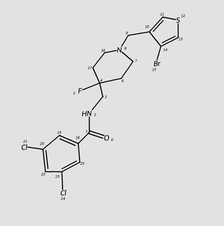 O=C(NCC1(F)CCN(Cc2cscc2Br)CC1)c1cc(Cl)cc(Cl)c1